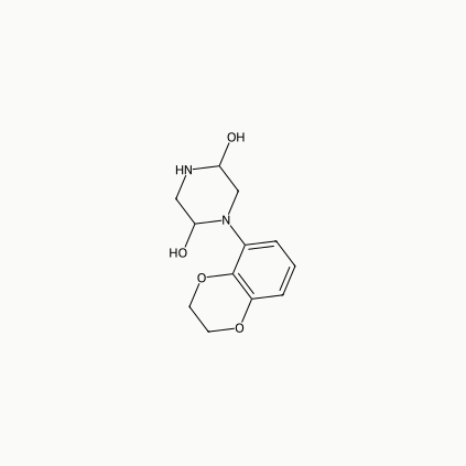 OC1CN(c2cccc3c2OCCO3)C(O)CN1